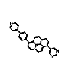 c1cc(-c2ccc(-c3ccc4ccc5c(-c6cncnc6)ccc6ccc3c4c65)cc2)ccn1